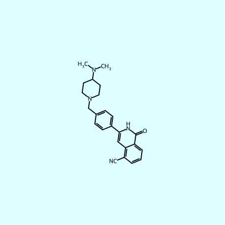 CN(C)C1CCN(Cc2ccc(-c3cc4c(C#N)cccc4c(=O)[nH]3)cc2)CC1